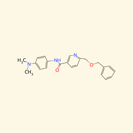 CN(C)c1ccc(NC(=O)c2ccc(COCc3ccccc3)nc2)cc1